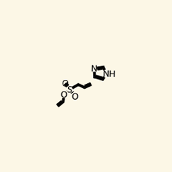 C=CCS(=O)(=O)OC=C.c1c[nH]cn1